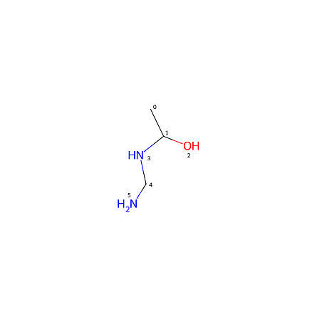 CC(O)NCN